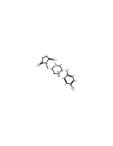 O=C1CCC(=O)N1C[C@H]1CB[C@@H](Cc2ccc(Cl)cc2)CO1